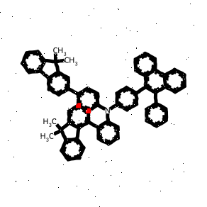 CC1(C)c2ccccc2-c2ccc(-c3ccc(N(c4ccc(-c5c(-c6ccccc6)c6ccccc6c6ccccc56)cc4)c4ccccc4-c4cccc5c4-c4ccccc4C5(C)C)cc3)cc21